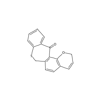 O=C1c2ccccc2SCc2ccc3c(c21)OCC=C3